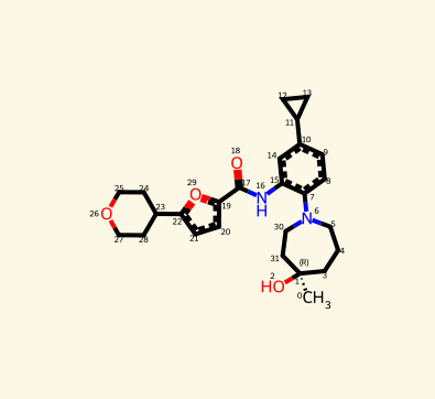 C[C@@]1(O)CCCN(c2ccc(C3CC3)cc2NC(=O)c2ccc(C3CCOCC3)o2)CC1